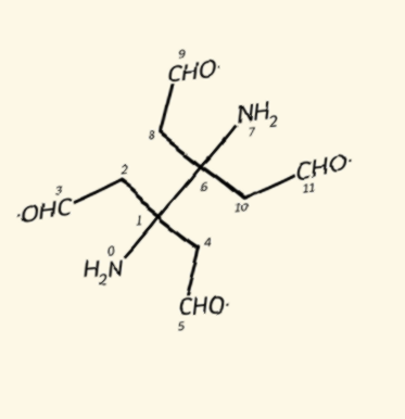 NC(C[C]=O)(C[C]=O)C(N)(C[C]=O)C[C]=O